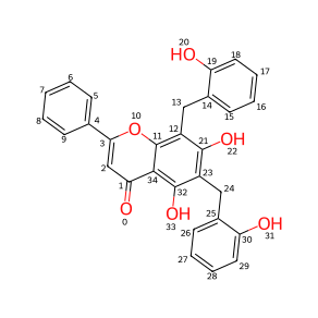 O=c1cc(-c2ccccc2)oc2c(Cc3ccccc3O)c(O)c(Cc3ccccc3O)c(O)c12